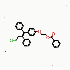 O=C(OCCOc1ccc(C(=C(CCCl)c2ccccc2)c2ccccc2)cc1)c1ccccc1